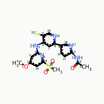 COc1cc(Nc2cc(-c3ccc(NC(C)=O)nc3)ncc2F)nc(S(C)(=O)=O)c1